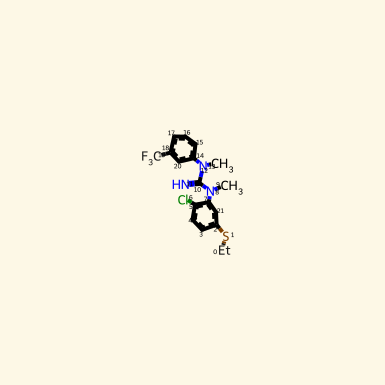 CCSc1ccc(Cl)c(N(C)C(=N)N(C)c2cccc(C(F)(F)F)c2)c1